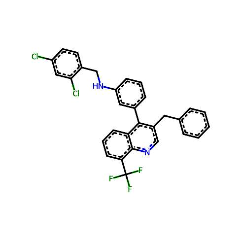 FC(F)(F)c1cccc2c(-c3cccc(NCc4ccc(Cl)cc4Cl)c3)c(Cc3ccccc3)cnc12